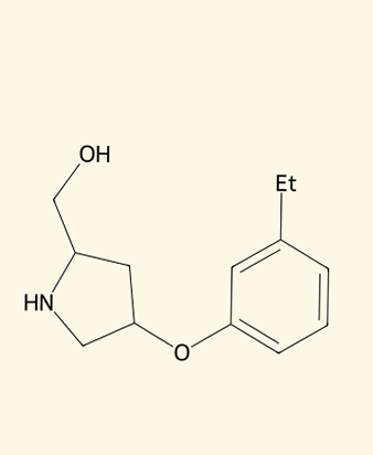 CCc1cccc(OC2CNC(CO)C2)c1